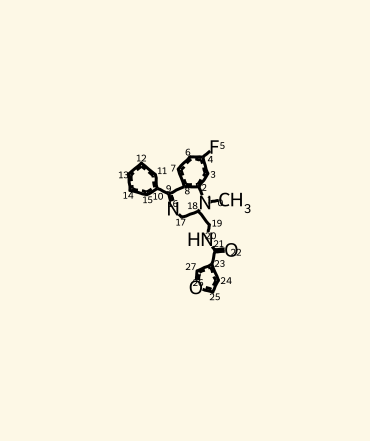 CN1c2cc(F)ccc2C(c2ccccc2)=NCC1CNC(=O)c1ccoc1